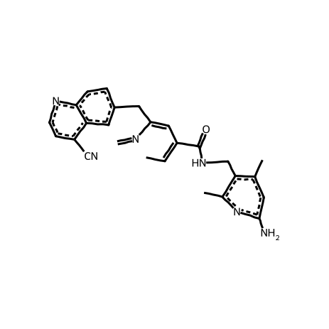 C=N/C(=C\C(=C/C)C(=O)NCc1c(C)cc(N)nc1C)Cc1ccc2nccc(C#N)c2c1